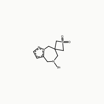 CC(C)N1Cc2ccnn2CC2(C1)CS(=O)(=O)C2